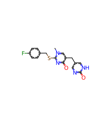 Cn1cc(Cc2cnc(=O)[nH]c2)c(=O)nc1SCc1ccc(F)cc1